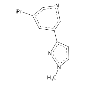 CC(C)c1cncc(-c2ccn(C)n2)c1